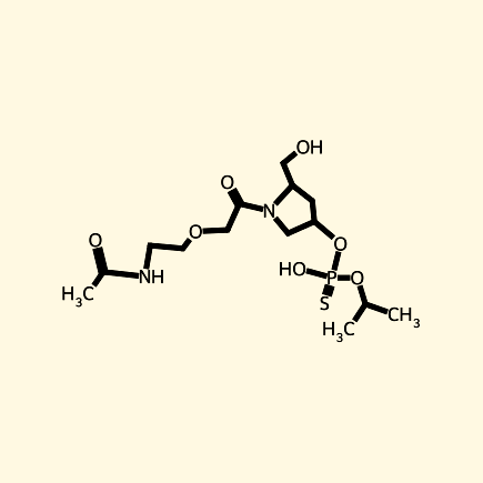 CC(=O)NCCOCC(=O)N1CC(OP(O)(=S)OC(C)C)CC1CO